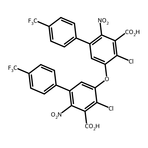 O=C(O)c1c(Cl)c(Oc2cc(-c3ccc(C(F)(F)F)cc3)c([N+](=O)[O-])c(C(=O)O)c2Cl)cc(-c2ccc(C(F)(F)F)cc2)c1[N+](=O)[O-]